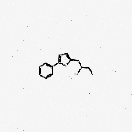 CCC(O)Cc1ccc(-c2ccccc2)o1